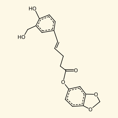 O=C(CC/C=C/c1ccc(O)c(CO)c1)Oc1ccc2c(c1)OCO2